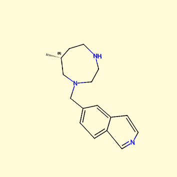 C[C@@H]1CCNCCN(Cc2ccc3cnccc3c2)C1